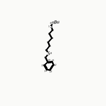 CCCCSCCCCCCSCc1ccccc1